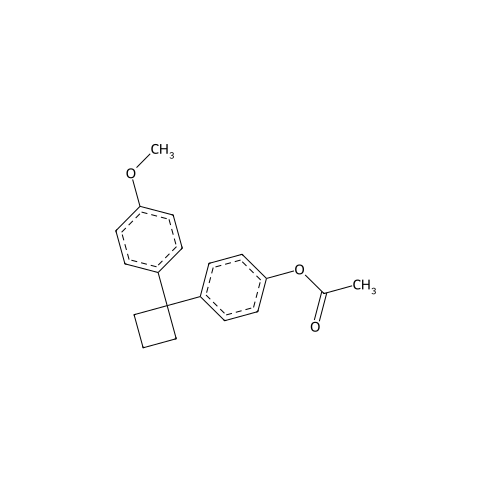 COc1ccc(C2(c3ccc(OC(C)=O)cc3)CCC2)cc1